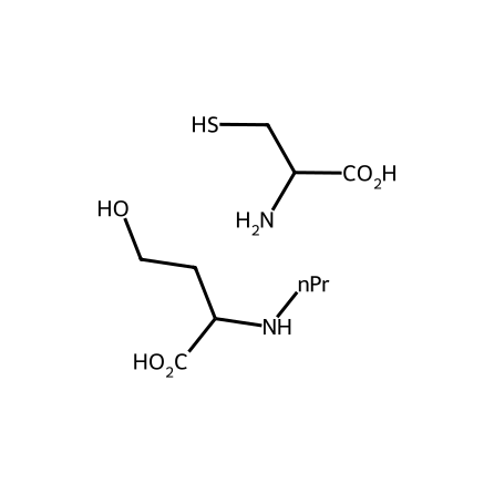 CCCNC(CCO)C(=O)O.NC(CS)C(=O)O